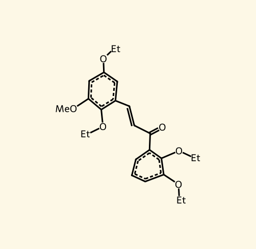 CCOc1cc(C=CC(=O)c2cccc(OCC)c2OCC)c(OCC)c(OC)c1